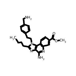 CCCCc1nc2c(N)nc3cc(C(=O)OC)ccc3c2n1CCc1ccc(CN)cc1